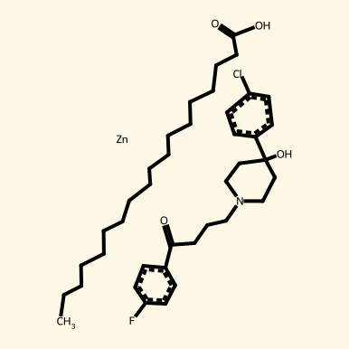 CCCCCCCCCCCCCCCCCC(=O)O.O=C(CCCN1CCC(O)(c2ccc(Cl)cc2)CC1)c1ccc(F)cc1.[Zn]